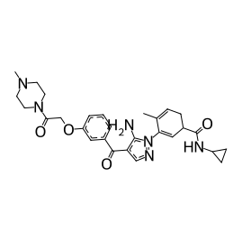 CC1=CCC(C(=O)NC2CC2)C=C1n1ncc(C(=O)c2cccc(OCC(=O)N3CCN(C)CC3)c2)c1N